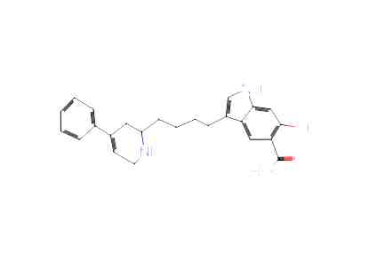 O=C(O)c1cc2c(CCCCC3CC(c4ccccc4)=CCN3)c[nH]c2cc1O